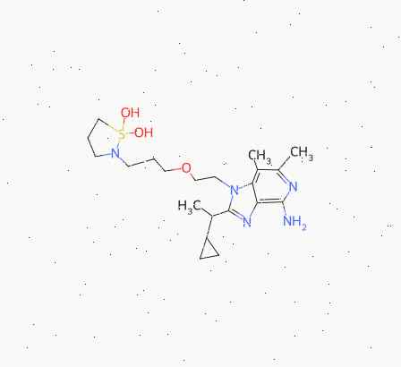 Cc1nc(N)c2nc(C(C)C3CC3)n(CCOCCCN3CCCS3(O)O)c2c1C